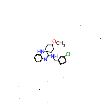 COC1CCC2(CC1)Nc1ccccc1N=C2NCc1cccc(Cl)c1